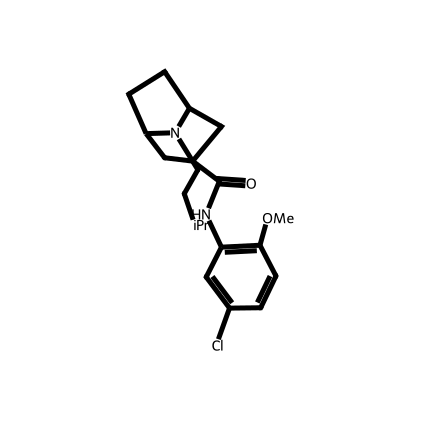 COc1ccc(Cl)cc1NC(=O)C1CC2CCC(C1)N2CCC(C)C